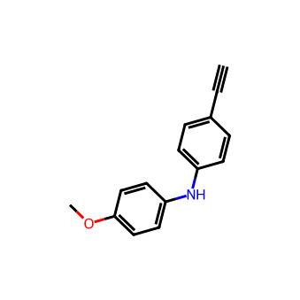 C#Cc1ccc(Nc2ccc(OC)cc2)cc1